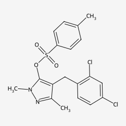 Cc1ccc(S(=O)(=O)Oc2c(Cc3ccc(Cl)cc3Cl)c(C)nn2C)cc1